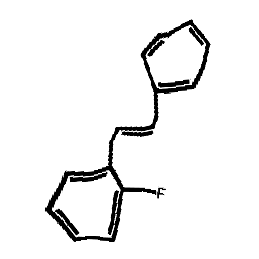 Fc1ccccc1C=Cc1ccccc1